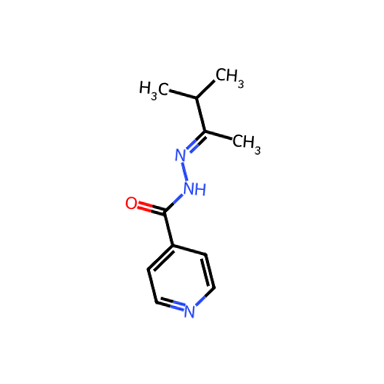 C/C(=N\NC(=O)c1ccncc1)C(C)C